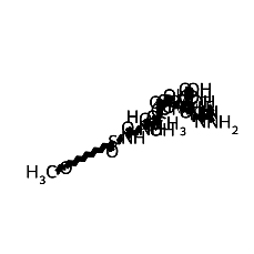 CCCOCCCCCCCCCC(=O)SCCNC(=O)CCNC(=O)[C@H](O)C(C)(C)COP(=O)(O)OP(=O)(O)OC[C@H]1O[C@@H](n2cnc3c(N)ncnc32)[C@H](O)[C@@H]1OP(=O)(O)O